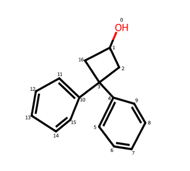 O[C]1CC(c2ccccc2)(c2ccccc2)C1